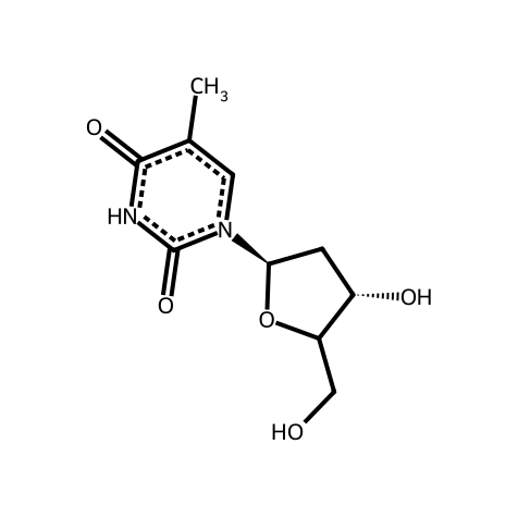 Cc1cn([C@H]2C[C@H](O)C(CO)O2)c(=O)[nH]c1=O